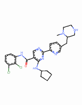 CN1CCNCC1Cc1ccc(-c2ncc(C(=O)Nc3cccc(Cl)c3Cl)c(NC3CCCC3)n2)nc1